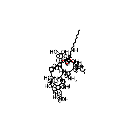 CCCCCCCCCCNCCC[C@@]1(C)C[C@H](O[C@H]2[C@H](Oc3c4cc5cc3Oc3ccc(cc3Cl)C(O)C3NC(=O)C(CC(=O)C5NC(=O)C(CC(N)=O)CC(=O)C(NC(=O)C(CC(C)C)NC)C(O)c5ccc(c(Cl)c5)O4)c4ccc(O)c(c4)-c4c(cc(O)c(CNCP(=O)(O)O)c4O)C(C(=O)O)NC3=O)O[C@H](CO)[C@@H](O)[C@@H]2O)O[C@@H](C)[C@H]1O